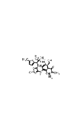 CCc1ccc(Nc2n[s+]([O-])nc2N[C@@H](c2ccc(C)s2)C(C)(C)C)c(O)c1C(=O)N(C)C